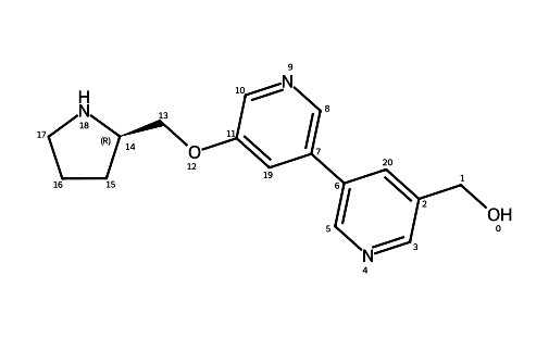 OCc1cncc(-c2cncc(OC[C@H]3CCCN3)c2)c1